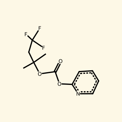 CC(C)(CC(F)(F)F)OC(=O)Oc1ccccn1